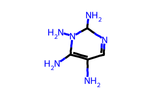 NC1=C(N)N(N)C(N)N=C1